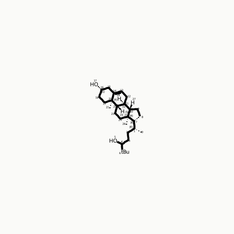 C[C@H](CCC(O)C(C)(C)C)[C@H]1CC[C@H]2[C@@H]3CC=C4C[C@@H](O)CC[C@]4(C)[C@H]3CC[C@]12C